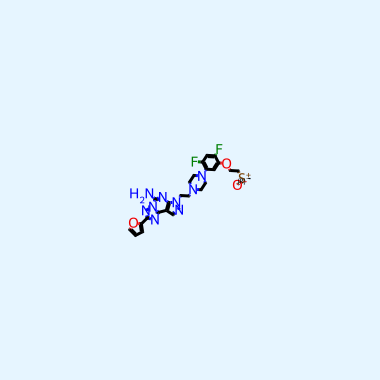 C[S@+]([O-])CCOc1cc(N2CCN(CCn3ncc4c3nc(N)n3nc(-c5ccco5)nc43)CC2)c(F)cc1F